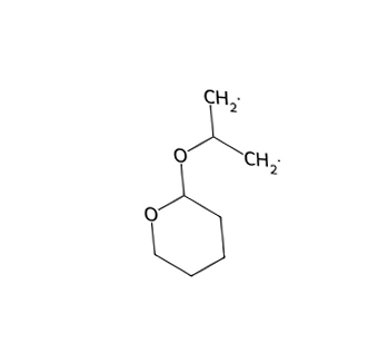 [CH2]C([CH2])OC1CCCCO1